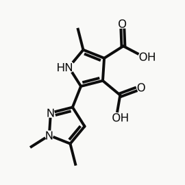 Cc1[nH]c(-c2cc(C)n(C)n2)c(C(=O)O)c1C(=O)O